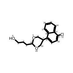 OCCCC1OCC(c2ccc(Cl)c3ccccc23)CO1